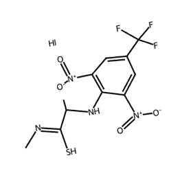 CN=C(S)C(C)Nc1c([N+](=O)[O-])cc(C(F)(F)F)cc1[N+](=O)[O-].I